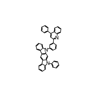 c1ccc(-c2cc(-c3cccc(-n4c5ccccc5c5cc6c7ccccc7n(-c7ccccc7)c6cc54)c3)nc3ccccc23)cc1